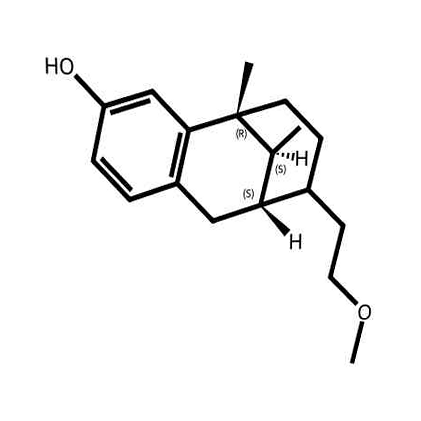 COCCC1CC[C@@]2(C)c3cc(O)ccc3C[C@@H]1[C@@H]2C